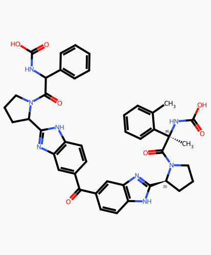 Cc1ccccc1[C@@](C)(NC(=O)O)C(=O)N1CCC[C@H]1c1nc2cc(C(=O)c3ccc4[nH]c(C5CCCN5C(=O)C(NC(=O)O)c5ccccc5)nc4c3)ccc2[nH]1